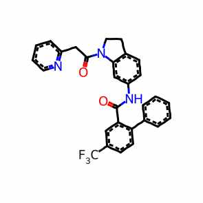 O=C(Nc1ccc2c(c1)N(C(=O)Cc1ccccn1)CC2)c1cc(C(F)(F)F)ccc1-c1ccccc1